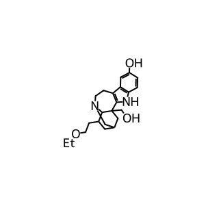 CCOCCC1CC2CN3CCc4c([nH]c5ccc(O)cc45)C(CO)(C2)C13